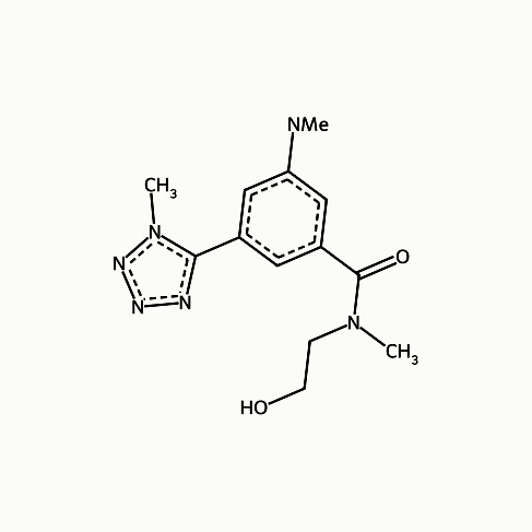 CNc1cc(C(=O)N(C)CCO)cc(-c2nnnn2C)c1